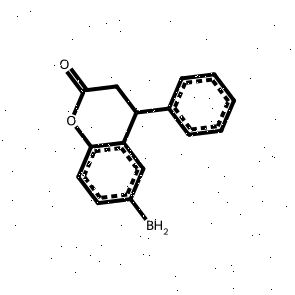 Bc1ccc2c(c1)C(c1ccccc1)CC(=O)O2